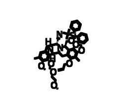 C=CCOc1c(C)c2c(c3c1CC1[C@H]4c5c(cc(C)c(OC)c5OCOCCOC)C[C@@H]([C@H](C#N)N1[C@H]3CO[Si](c1ccccc1)(c1ccccc1)C(C)(C)C)N4C)OCO2